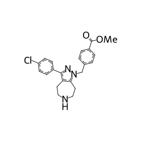 COC(=O)c1ccc(Cn2nc(-c3ccc(Cl)cc3)c3c2CCNCC3)cc1